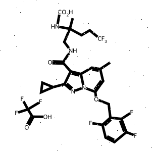 Cc1cc(OCc2c(F)ccc(F)c2F)n2nc(C3CC3)c(C(=O)NCC(C)(CCC(F)(F)F)NC(=O)O)c2c1.O=C(O)C(F)(F)F